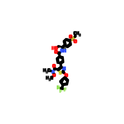 CCS(=O)(=O)c1ccc([C@H](CO)NC(=O)c2ccc(-c3nc(Oc4ccc(C(F)(F)F)cc4)sc3C(=O)N(C)OC)cc2)cc1